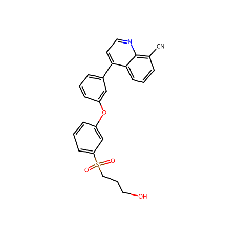 N#Cc1cccc2c(-c3cccc(Oc4cccc(S(=O)(=O)CCCO)c4)c3)ccnc12